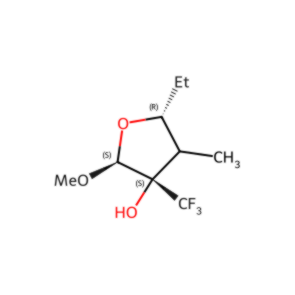 CC[C@H]1O[C@H](OC)[C@](O)(C(F)(F)F)C1C